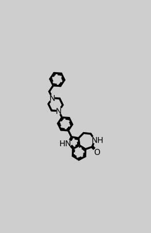 O=C1NCCc2c(-c3ccc(N4CCN(Cc5ccccc5)CC4)cc3)[nH]c3cccc1c23